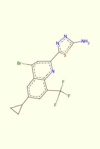 Nc1nnc(-c2cc(Br)c3cc(C4CC4)cc(C(F)(F)F)c3n2)s1